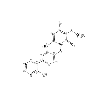 CCCCc1nc(C(C)C)c(CC(=O)OCC)c(=O)n1Cc1ccc(-c2ccccc2C#N)cc1